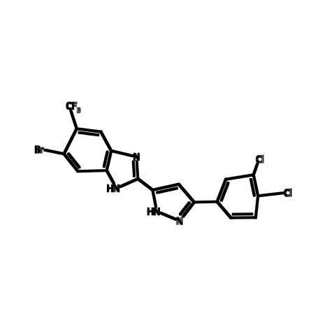 FC(F)(F)c1cc2nc(-c3cc(-c4ccc(Cl)c(Cl)c4)n[nH]3)[nH]c2cc1Br